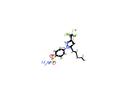 CCCCCc1cc(C(F)(F)F)nn1-c1ccc(S(N)(=O)=O)cc1